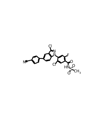 CS(=O)(=O)NC(=O)c1cc(Cl)c(-n2nc(Cl)c3cc(-c4ccc(C#N)cc4)ccc32)cc1F